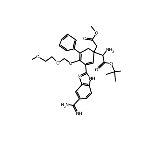 COCCOCOC1=C(c2ccccc2)CC(CC(=O)OC)(C(N)C(=O)OC(C)(C)C)C=C1c1nc2cc(C(=N)N)ccc2[nH]1